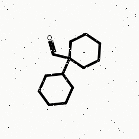 O=[C]C1(C2CCCCC2)CCCCC1